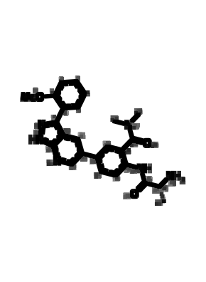 COc1ccccc1-c1n[nH]c2ncc(-c3ccc(NC(=O)[C@@H](C)N)c(C(=O)N(C)C)c3)cc12